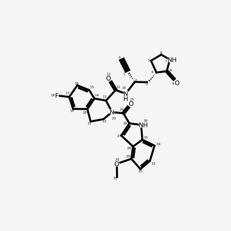 C#C[C@H](C[C@@H]1CCNC1=O)NC(=O)C1c2ccc(F)cc2CCN1C(=O)c1cc2c(OC)cccc2[nH]1